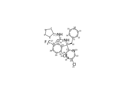 O=C(NC1CCCC1)N[C@](Cc1ccccc1)(c1ccc(Cl)cn1)c1cc(C(F)(F)F)ccc1C(F)(F)F